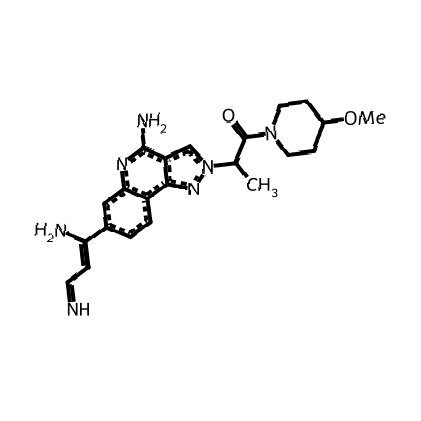 COC1CCN(C(=O)C(C)n2cc3c(N)nc4cc(/C(N)=C/C=N)ccc4c3n2)CC1